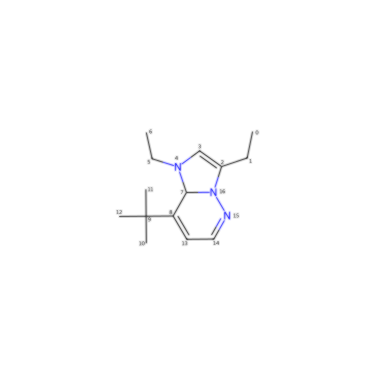 CCC1=CN(CC)C2C(C(C)(C)C)=CC=NN12